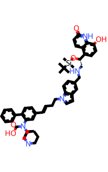 CC(C)(C)[Si](C)(C)O[C@@H](CNCc1ccc2c(ccn2CCC=Cc2ccc(-c3ccccc3)c(N(C(=O)O)C3CN4CCC3CC4)c2)c1)c1ccc(O)c2[nH]c(=O)ccc12